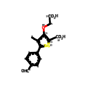 Cc1c(-c2ccc(C=O)cc2)sc(C(=O)O)c1OCC(=O)O